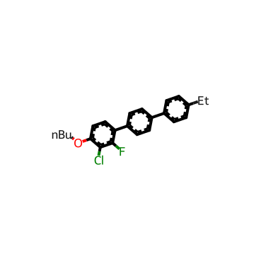 CCCCOc1ccc(-c2ccc(-c3ccc(CC)cc3)cc2)c(F)c1Cl